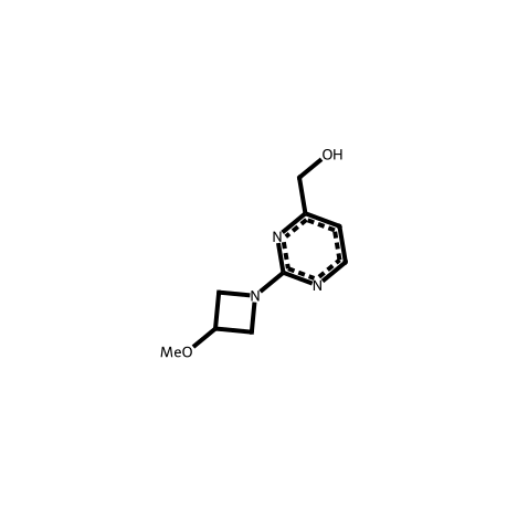 COC1CN(c2nccc(CO)n2)C1